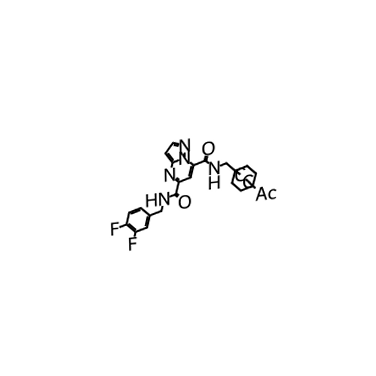 CC(=O)C12CCC(CNC(=O)c3cc(C(=O)NCc4ccc(F)c(F)c4)nc4ccnn34)(CC1)CC2